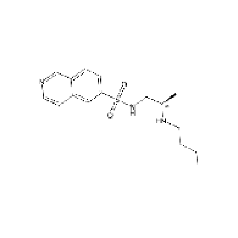 CCCCN[C@H](C)CNS(=O)(=O)c1ccc2cnccc2c1